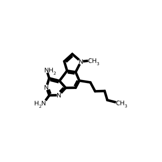 CCCCCc1cc2nc(N)nc(N)c2c2ccn(C)c12